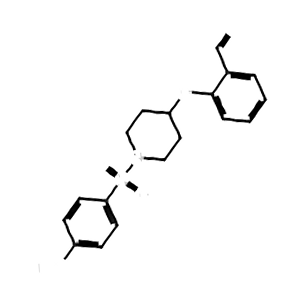 Cc1ccc(S(=O)(=O)N2CCC(Oc3ccccc3C=O)CC2)cc1